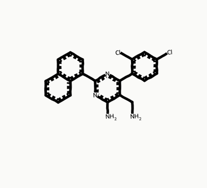 NCc1c(N)nc(-c2cccc3ccccc23)nc1-c1ccc(Cl)cc1Cl